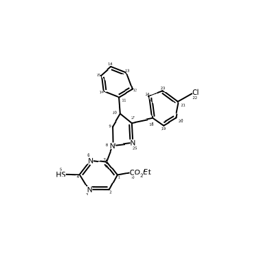 CCOC(=O)c1cnc(S)nc1N1CC(c2ccccc2)C(c2ccc(Cl)cc2)=N1